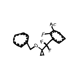 CC(=O)c1cccc(C(F)(F)C2(OCc3ccccc3)CC2)c1F